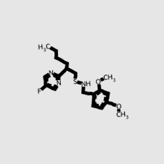 CCCCC(CSNCc1ccc(OC)cc1OC)c1ncc(F)cn1